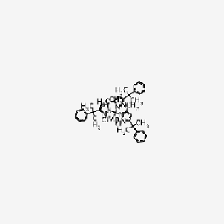 Cc1cc(C(C)(C)c2ccccc2)nn1[C](n1nc(C(C)(C)c2ccccc2)cc1C)(n1nc(C(C)(C)c2ccccc2)cc1C)[Mn]([Cl])[Cl]